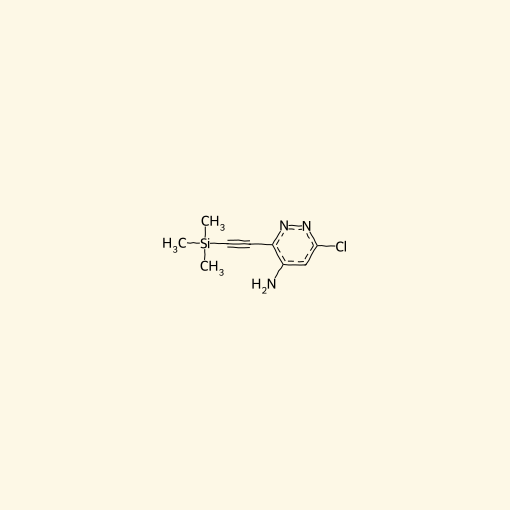 C[Si](C)(C)C#Cc1nnc(Cl)cc1N